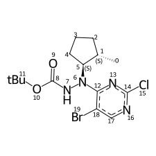 C[C@H]1CCC[C@@H]1N(NC(=O)OC(C)(C)C)c1nc(Cl)ncc1Br